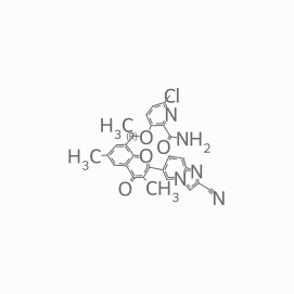 Cc1cc([C@@H](C)Oc2ccc(Cl)nc2C(N)=O)c2oc(-c3ccc4nc(C#N)cn4c3)c(C)c(=O)c2c1